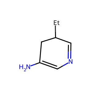 CCC1C=NC=C(N)C1